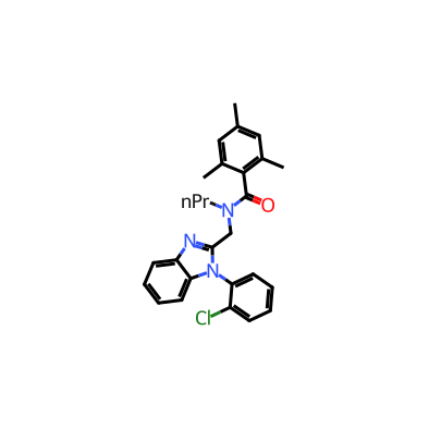 CCCN(Cc1nc2ccccc2n1-c1ccccc1Cl)C(=O)c1c(C)cc(C)cc1C